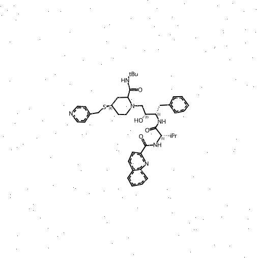 CC(C)[C@H](NC(=O)c1ccc2ccccc2n1)C(=O)N[C@@H](Cc1ccccc1)[C@H](O)CN1CC[C@@H](SCc2ccncc2)CC1C(=O)NC(C)(C)C